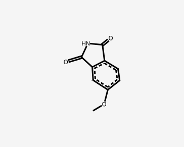 COc1[c]c2c(cc1)C(=O)NC2=O